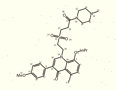 CCCOc1ccc(F)c2c(=O)c(-c3ccc(OC)cc3)cn(CCS(=O)(=O)CCC(=O)N3CCN(C)CC3)c12